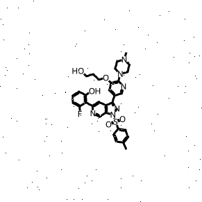 Cc1ccc(S(=O)(=O)n2nc(-c3cnc(N4CCN(C)CC4)c(OCCCO)c3)c3cc(-c4c(O)cccc4F)ncc32)cc1